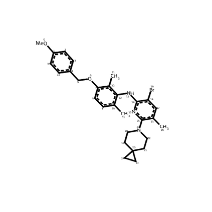 COc1ccc(COc2ccc(C)c(Nc3nc(N4CCC5(CC4)CC5)c(C)cc3Br)c2C)cc1